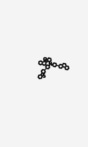 c1ccc2c(c1)ccc1cc(-c3ccc(N(c4ccc(-c5ccc6c(c5)sc5ccccc56)cc4)c4cccc5oc6c7ccccc7ccc6c45)cc3)ccc12